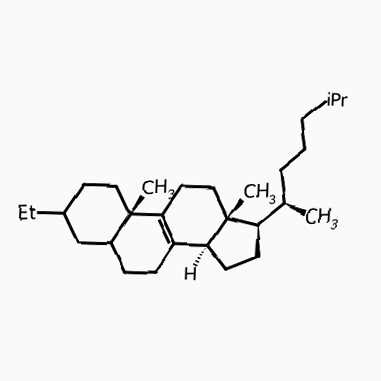 CCC1CC[C@]2(C)C3=C(CCC2C1)[C@@H]1CC[C@H]([C@H](C)CCCC(C)C)[C@@]1(C)CC3